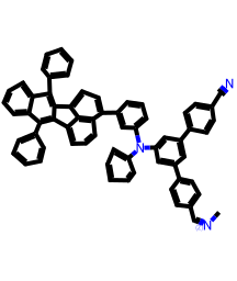 C/N=C\c1ccc(-c2cc(-c3ccc(C#N)cc3)cc(N(c3ccccc3)c3cccc(-c4ccc5c6c(cccc46)-c4c-5c(-c5ccccc5)c5ccccc5c4-c4ccccc4)c3)c2)cc1